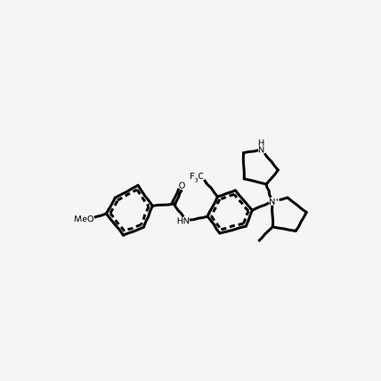 COc1ccc(C(=O)Nc2ccc([N+]3(C4CCNC4)CCCC3C)cc2C(F)(F)F)cc1